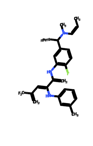 C=C(Nc1cc(C(CCCCC)N(C)/C=C\C)ccc1F)/C(=C/C(=C)C(F)(F)F)Nc1cccc(C)c1